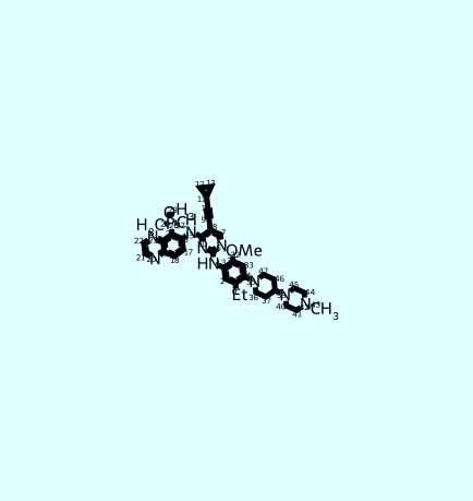 CCc1cc(Nc2ncc(C#CC3CC3)c(Nc3ccc4nccnc4c3P(C)(C)=O)n2)c(OC)cc1N1CCC(N2CCN(C)CC2)CC1